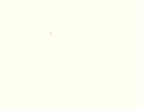 Cn1cncc(Sc2cccnc2C(F)(F)F)c1=O